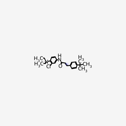 CCN(CC)c1ccc(NC(=O)/C=C/c2ccc(C(C)(C)C)cc2)cc1Cl